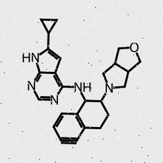 c1ccc2c(c#1)CCC(N1CC3COCC3C1)C2Nc1ncnc2[nH]c(C3CC3)cc12